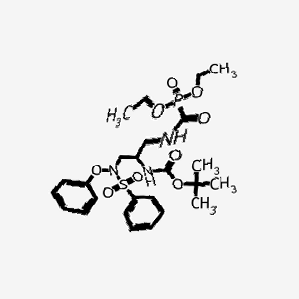 CCOP(=O)(OCC)C(=O)NCC(CN(Oc1ccccc1)S(=O)(=O)c1ccccc1)NC(=O)OC(C)(C)C